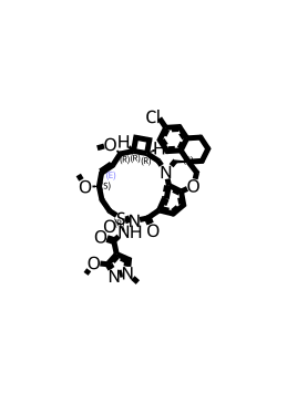 COc1nn(C)cc1C(=O)N[S@@]1(=O)=NC(=O)c2ccc3c(c2)N(C[C@@H]2CC[C@H]2[C@@H](OC)/C=C/[C@@H](OC)CC1)C[C@@]1(CCCc2cc(Cl)ccc21)CO3